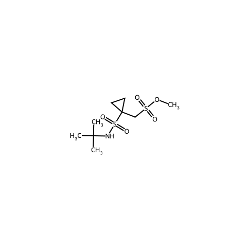 COS(=O)(=O)CC1(S(=O)(=O)NC(C)(C)C)CC1